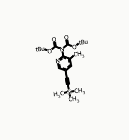 Cc1cc(C#C[Si](C)(C)C)cnc1N(C(=O)OC(C)(C)C)C(=O)OC(C)(C)C